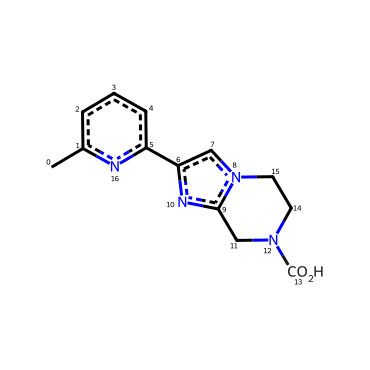 Cc1cccc(-c2cn3c(n2)CN(C(=O)O)CC3)n1